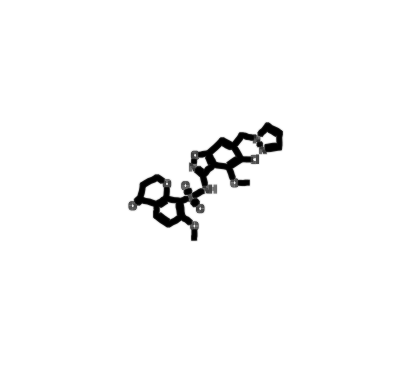 COc1ccc2c(c1S(=O)(=O)Nc1noc3cc(Cn4cccn4)c(Cl)c(OC)c13)OCCC2=O